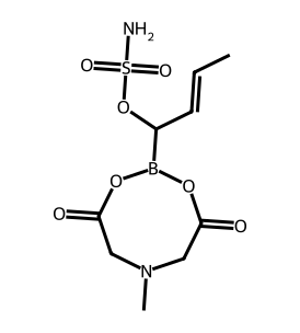 CC=CC(OS(N)(=O)=O)B1OC(=O)CN(C)CC(=O)O1